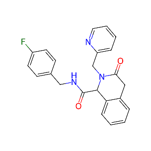 O=C(NCc1ccc(F)cc1)C1c2ccccc2CC(=O)N1Cc1ccccn1